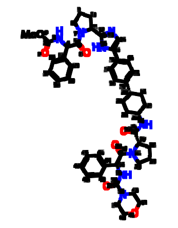 COC(=O)N[C@@H](C(=O)N1CCC[C@H]1c1ncc(-c2ccc([C@H]3CC[C@@H](NC(=O)[C@@H]4CCCN4C(=O)[C@H](NC(=O)N4CCOCC4)c4ccccc4)CC3)cc2)[nH]1)c1ccccc1